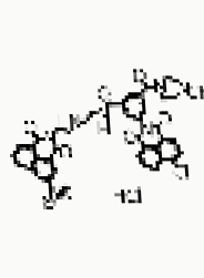 CN1CCN(C(=O)c2cc(C(=O)NCCNCCN3C(=O)c4cccc5cc([N+](=O)[O-])cc(c45)C3=O)cc(N3C(=O)c4cccc5c(Cl)ccc(c45)C3=O)c2)CC1.Cl